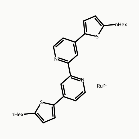 CCCCCCc1ccc(-c2ccnc(-c3cc(-c4ccc(CCCCCC)s4)ccn3)c2)s1.[Ru+2]